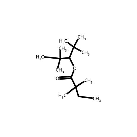 CCC(C)(C)C(=O)OC(C(C)(C)C)C(C)(C)C